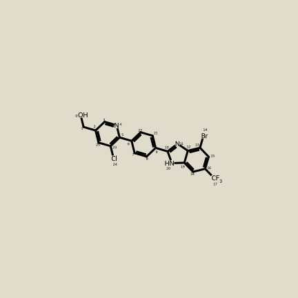 OCc1cnc(-c2ccc(-c3nc4c(Br)cc(C(F)(F)F)cc4[nH]3)cc2)c(Cl)c1